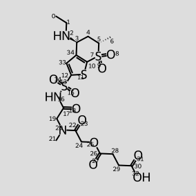 CCN[C@H]1C[C@H](C)S(=O)(=O)c2sc(S(=O)(=O)NC(=O)CN(C)C(=O)COC(=O)CCC(=O)O)cc21